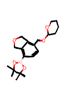 CC1(C)OB(c2ccc(COC3CCCCO3)c3c2COC3)OC1(C)C